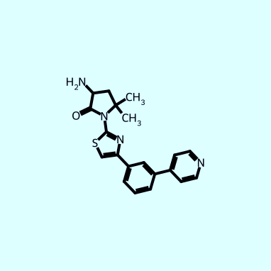 CC1(C)CC(N)C(=O)N1c1nc(-c2cccc(-c3ccncc3)c2)cs1